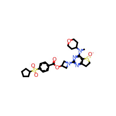 CN(c1nc(N2CC(OC(=O)c3ccc(S(=O)(=O)C4CCCC4)cc3)C2)nc2c1[S+]([O-])CC2)C1CCOCC1